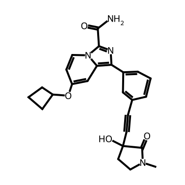 CN1CCC(O)(C#Cc2cccc(-c3nc(C(N)=O)n4ccc(OC5CCC5)cc34)c2)C1=O